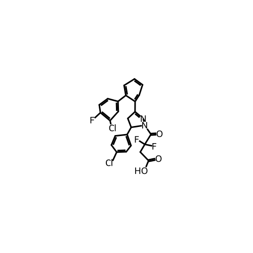 O=C(O)CC(F)(F)C(=O)N1N=C(c2ccccc2-c2ccc(F)c(Cl)c2)CC1c1ccc(Cl)cc1